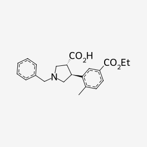 CCOC(=O)c1ccc(C)c([C@H]2CN(Cc3ccccc3)C[C@@H]2C(=O)O)c1